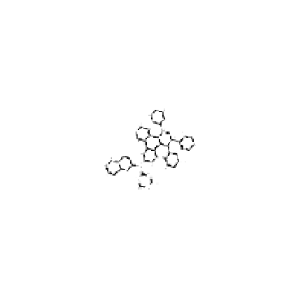 c1ccc(-c2cc(-c3ccccc3)c3c4ccccc4c4cc(N(c5ccc6ccccc6c5)c5ncncn5)ccc4c3c2-c2ccccc2)cc1